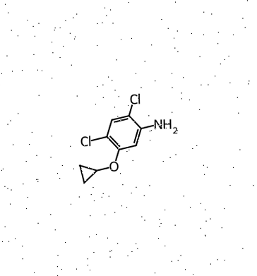 Nc1cc(OC2CC2)c(Cl)cc1Cl